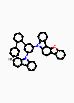 N#Cc1ccc(-c2ccccc2-c2cc(-n3c4ccccc4c4ccccc43)cc(-n3c4ccccc4c4c5oc6ccccc6c5ccc43)c2)cc1